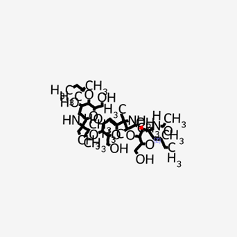 CC/C(C)=C1\OC(CO)C(OC(C)(CC)C(N)(CC)C2=CC(O)C(OC(C)(CC)C3(CC)NC4C(O)C(OC(C)(C)CC)C(CO)OC43)C(CO)O2)C(O)C1NC(C)=O